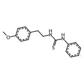 COc1ccc(CCNC(=S)Nc2cc[c]cc2)cc1